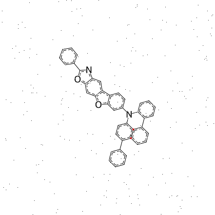 c1ccc(-c2ccc(N(c3ccc4c(c3)oc3cc5oc(-c6ccccc6)nc5cc34)c3ccccc3-c3ccccc3)cc2)cc1